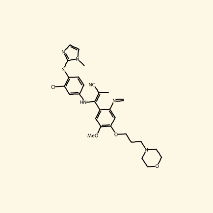 C=Nc1cc(OCCCN2CCOCC2)c(OC)cc1/C(Nc1ccc(Sc2nccn2C)c(Cl)c1)=C(\C)C#N